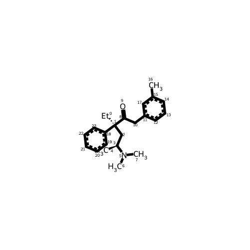 CC[C@@](C[C@H](C)N(C)C)(C(=O)Cc1cccc(C)c1)c1ccccc1